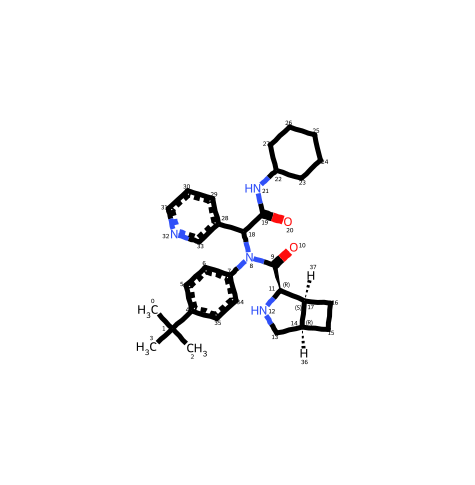 CC(C)(C)c1ccc(N(C(=O)[C@@H]2NC[C@@H]3CC[C@@H]32)C(C(=O)NC2CCCCC2)c2cccnc2)cc1